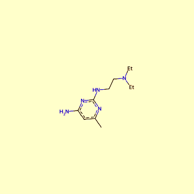 CCN(CC)CCNc1nc(C)cc(N)n1